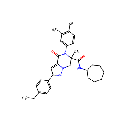 CCc1ccc(-c2cc3n(n2)CC(C)(C(=O)NC2CCCCCC2)N(c2ccc(C)c(C)c2)C3=O)cc1